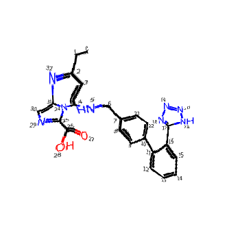 CCc1cc(NCc2ccc(-c3ccccc3-c3nnn[nH]3)cc2)n2c(C(=O)O)ncc2n1